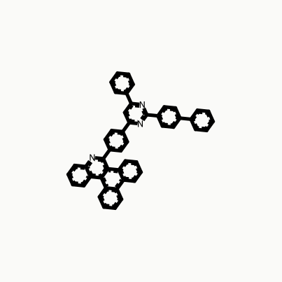 c1ccc(-c2ccc(-c3nc(-c4ccccc4)cc(-c4ccc(-c5nc6ccccc6c6c7ccccc7c7ccccc7c56)cc4)n3)cc2)cc1